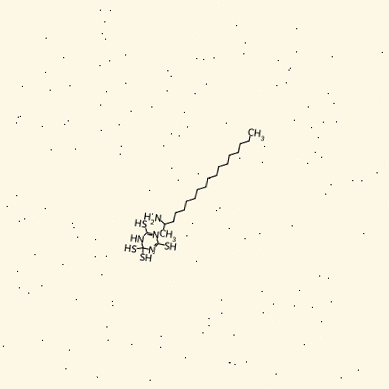 CCCCCCCCCCCCCCCCC(C)N.SC1=NC(S)(S)NC(S)=N1